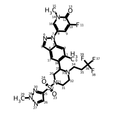 Cc1cc2c(cnn2-c2cc(F)c(=O)n(C)c2)cc1C1CN(S(=O)(=O)c2cnn(C)n2)CCN1CCC(F)(F)F